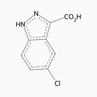 O=C(O)c1n[nH]c2ccc(Cl)cc12